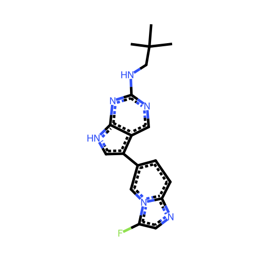 CC(C)(C)CNc1ncc2c(-c3ccc4ncc(F)n4c3)c[nH]c2n1